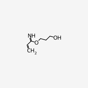 C=CC(=N)OCCCO